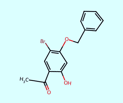 CC(=O)c1cc(Br)c(OCc2ccccc2)cc1O